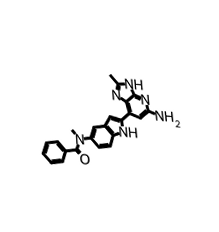 Cc1nc2c(-c3cc4cc(N(C)C(=O)c5ccccc5)ccc4[nH]3)cc(N)nc2[nH]1